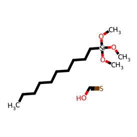 CCCCCCCCCC[Si](OC)(OC)OC.OC=S